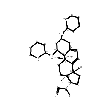 CC(C=O)[C@H]1CC[C@H]2C3=CC=C4CC(OC5CCCCO5)CC(OC5CCCCO5)[C@]4(C)[C@H]3CC[C@]12C